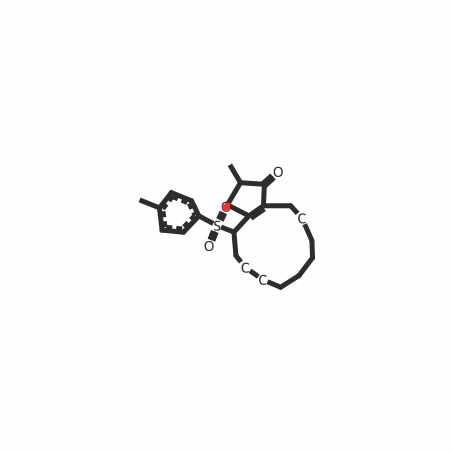 Cc1ccc(S(=O)(=O)C2CCCCCCCCCC3=C2CC(C)C3=O)cc1